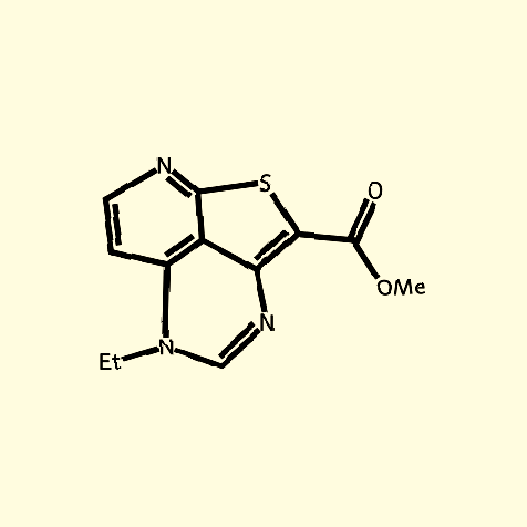 CCN1C=Nc2c(C(=O)OC)sc3nccc1c23